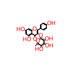 C[C@H]1O[C@@H](Oc2c(-c3ccc(O)cc3)oc3cc(O)cc(O)c3c2=O)[C@@H](O)[C@@H](O)[C@@H]1O